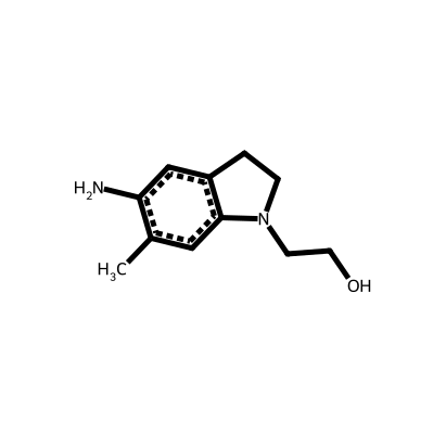 Cc1cc2c(cc1N)CCN2CCO